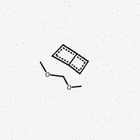 COCOC.c1cc2ccc1-2